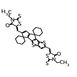 CCN1C(=O)/C(=C/C2=CC3=C(c4sc5cc(/C=C6\SC(=S)N(CC)C6=O)sc5c4C34CCCCC4)C23CCCCC3)SC1=S